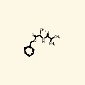 CC(N)C(=O)N[C@H](C)C(=O)OCc1ccccc1